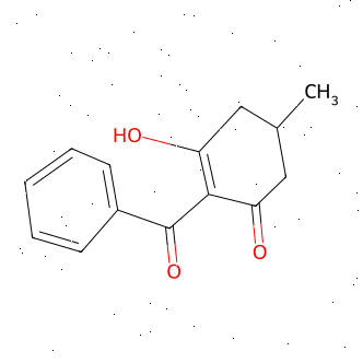 CC1CC(=O)C(C(=O)c2ccccc2)=C(O)C1